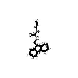 C=CC[N]C(=O)OCC1c2ccccc2-c2ccccc21